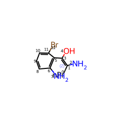 CCC/C(N)=C(/O)c1c(N)cccc1Br